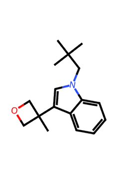 CC(C)(C)Cn1cc(C2(C)COC2)c2ccccc21